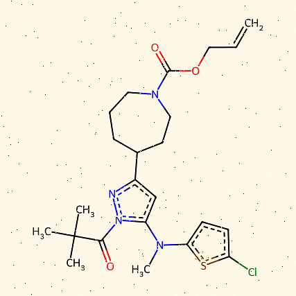 C=CCOC(=O)N1CCCC(c2cc(N(C)c3ccc(Cl)s3)n(C(=O)C(C)(C)C)n2)CC1